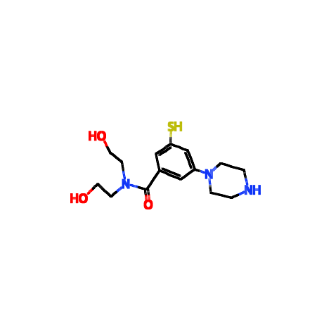 O=C(c1cc(S)cc(N2CCNCC2)c1)N(CCO)CCO